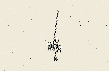 CCCCCCCCCCCCCCCC(=O)CC(CC(=O)P(O)C(=O)CCCN(C)C)NC(C)=O